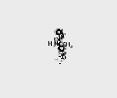 COC(=O)Oc1ccc(C(N)CC(=O)N2CCc3ccccc32)c(C)c1